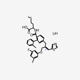 CSCCC(NC(=O)c1ccc(C/C(=C\c2cncs2)COc2cc(F)cc(F)c2)cc1-c1ccccc1C)C(=O)O.[LiH]